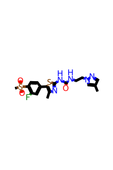 Cc1cnn(CCNC(=O)Nc2nc(C)c(-c3ccc(S(C)(=O)=O)c(F)c3)s2)c1